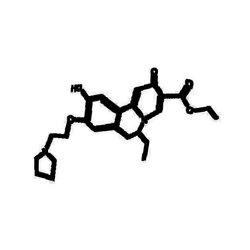 CCOC(=O)c1cn2c(cc1=O)-c1cc(O)c(OCCN3CCCC3)cc1CC2CC